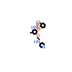 Cc1cc(NS(=O)(=O)c2ccccc2Cl)cc(OCCNc2ccncc2)c1